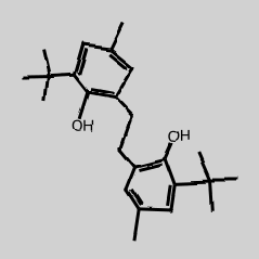 Cc1cc(CCc2cc(C)cc(C(C)(C)C)c2O)c(O)c(C(C)(C)C)c1